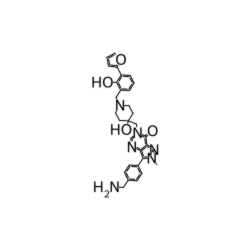 Cn1nc2c(=O)n(CC3(O)CCN(Cc4cccc(-c5ccco5)c4O)CC3)cnc2c1-c1ccc(CN)cc1